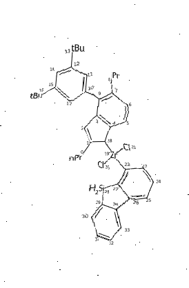 CCCC1=Cc2c(ccc(C(C)C)c2-c2cc(C(C)(C)C)cc(C(C)(C)C)c2)[CH]1[Zr]([Cl])([Cl])[c]1cccc2c1[SiH2]c1ccccc1-2